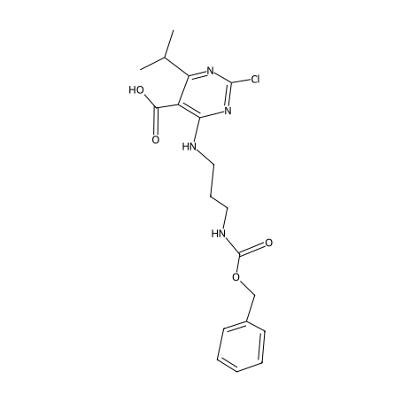 CC(C)c1nc(Cl)nc(NCCCNC(=O)OCc2ccccc2)c1C(=O)O